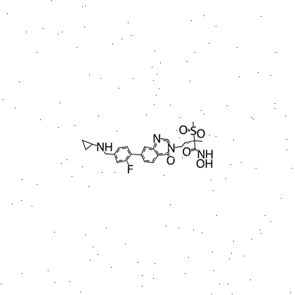 CC(CCn1cnc2cc(-c3ccc(CNC4CC4)cc3F)ccc2c1=O)(C(=O)NO)S(C)(=O)=O